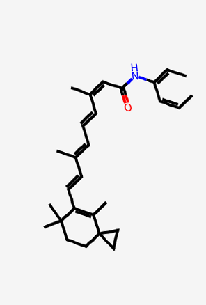 C/C=C\C(=C/C)NC(=O)\C=C(C)/C=C/C=C(C)/C=C/C1=C(C)C2(CCC1(C)C)CC2